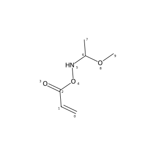 C=CC(=O)ONC(C)OC